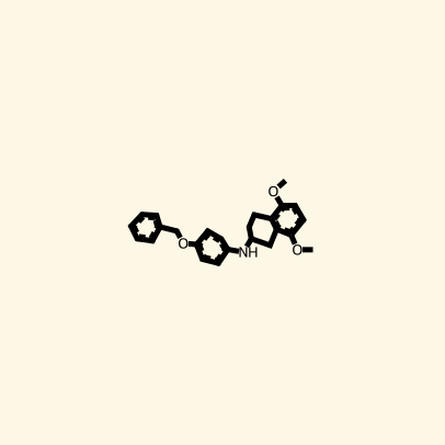 COc1ccc(OC)c2c1CCC(Nc1ccc(OCc3ccccc3)cc1)C2